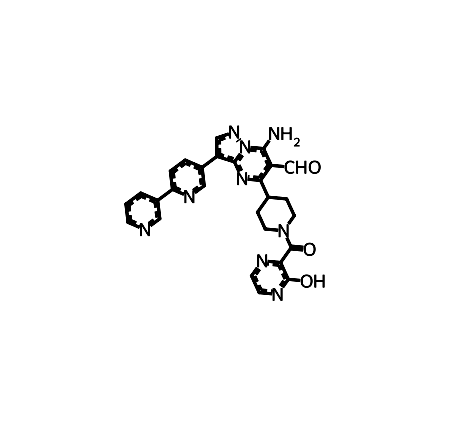 Nc1c(C=O)c(C2CCN(C(=O)c3nccnc3O)CC2)nc2c(-c3ccc(-c4cccnc4)nc3)cnn12